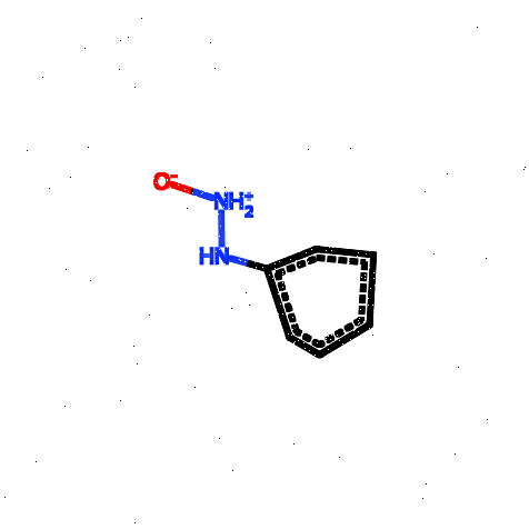 [O-][NH2+]Nc1ccccc1